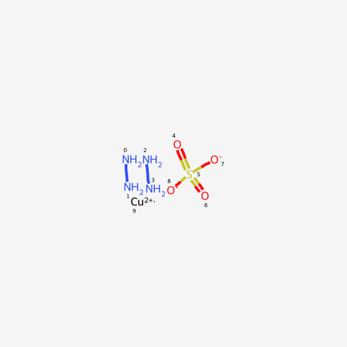 NN.NN.O=S(=O)([O-])[O-].[Cu+2]